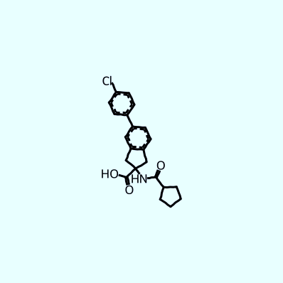 O=C(NC1(C(=O)O)Cc2ccc(-c3ccc(Cl)cc3)cc2C1)C1CCCC1